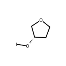 IO[C@H]1CCOC1